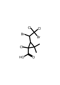 CC1(C)C(C(Br)C(Cl)(Cl)Br)C1(Cl)C(=O)O